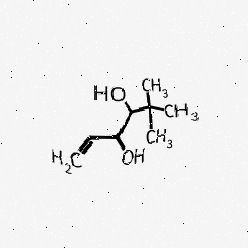 C=CC(O)C(O)C(C)(C)C